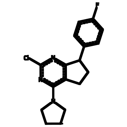 Fc1ccc(C2CCc3c2nc(Cl)nc3N2C[CH]CC2)cc1